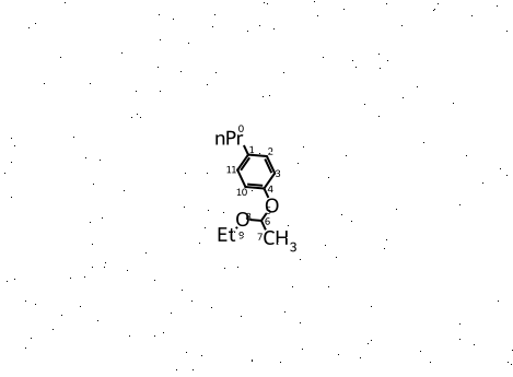 CCCc1ccc(OC(C)OCC)cc1